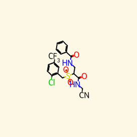 N#CCNC(=O)C(CNC(=O)c1ccccc1)S(=O)(=O)Cc1cc(C(F)(F)F)ccc1Cl